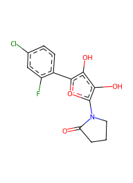 O=C1CCCN1c1oc(-c2ccc(Cl)cc2F)c(O)c1O